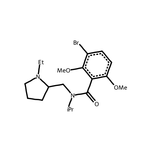 CCN1CCCC1CN(C(=O)c1c(OC)ccc(Br)c1OC)C(C)C